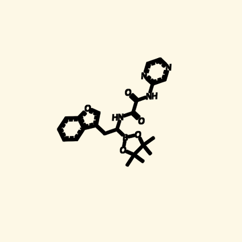 CC1(C)OB(C(Cc2coc3ccccc23)NC(=O)C(=O)Nc2cnccn2)OC1(C)C